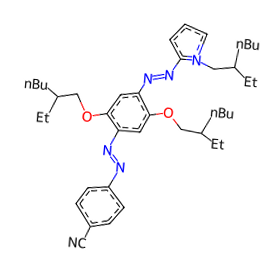 CCCCC(CC)COc1cc(/N=N/c2cccn2CC(CC)CCCC)c(OCC(CC)CCCC)cc1/N=N/c1ccc(C#N)cc1